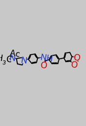 CC(=O)N(C)C1CCN(c2ccc(NC(=O)c3ccc(C4=CCC5OCOC5=C4)cc3)cc2)C1